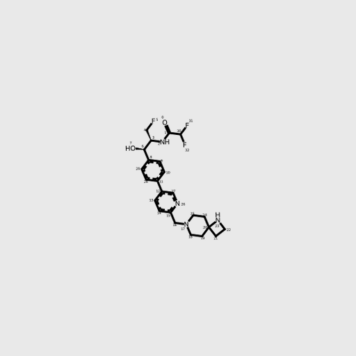 O=C(N[C@H](CF)[C@H](O)c1ccc(-c2ccc(CN3CCC4(CCN4)CC3)nc2)cc1)C(F)F